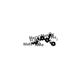 CNCCC[C@H](NC)C(=O)N(C)[C@@H](Cc1cccc(-c2ccc(OCc3ccccc3)c(C[C@H](NC)C(=O)P(F)P)c2)c1)C(=O)OC